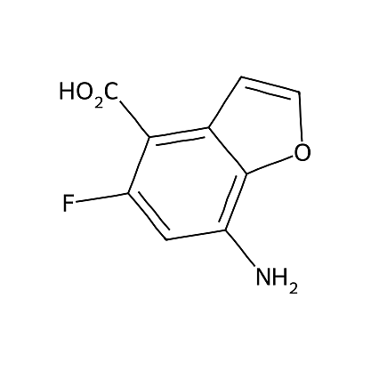 Nc1cc(F)c(C(=O)O)c2ccoc12